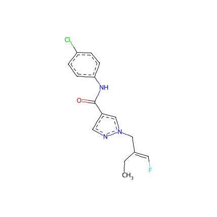 CC/C(=C\F)Cn1cc(C(=O)Nc2ccc(Cl)cc2)cn1